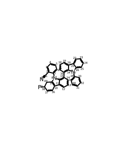 N#Cc1ccccc1-n1c2c(c3cccc(-c4cccc5c6ccccc6n(-c6ccccc6)c45)c31)C=CC(F)C2